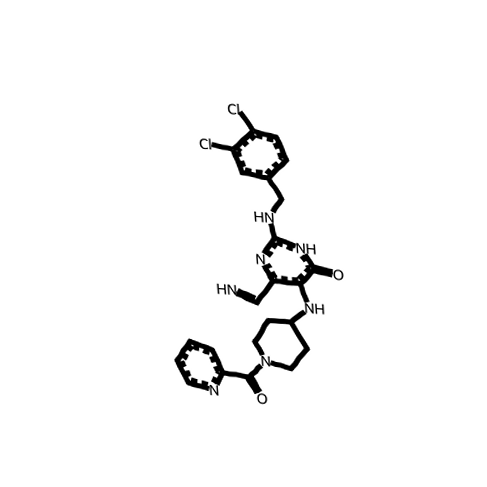 N=Cc1nc(NCc2ccc(Cl)c(Cl)c2)[nH]c(=O)c1NC1CCN(C(=O)c2ccccn2)CC1